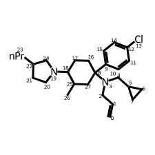 C=CCN(CC1CC1)C1(c2ccc(Cl)cc2)CCC(N2CCC(CCC)C2)C(C)C1